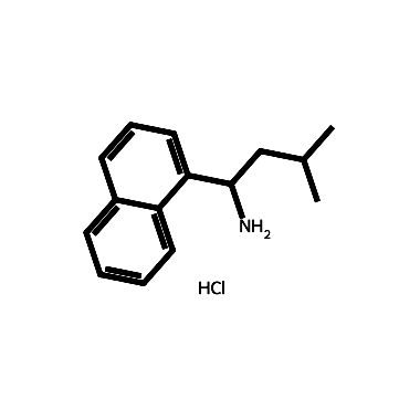 CC(C)CC(N)c1cccc2ccccc12.Cl